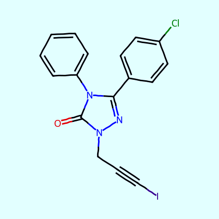 O=c1n(CC#CI)nc(-c2ccc(Cl)cc2)n1-c1ccccc1